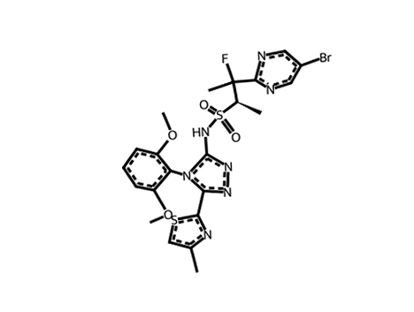 COc1cccc(OC)c1-n1c(NS(=O)(=O)[C@H](C)C(C)(F)c2ncc(Br)cn2)nnc1-c1nc(C)cs1